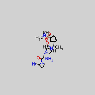 C[C@@H](c1cccc(S(=O)(=O)N(C)C)c1)N1C(=O)[C@@H]2C[C@H]1CN2C[C@H](N)C(=O)N1CCC[C@H]1C#N